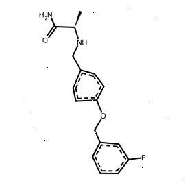 C[C@@H](NCc1ccc(OCc2cccc(F)c2)cc1)C(N)=O